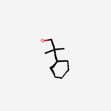 CC(C)(C[O])C1CCCCC1